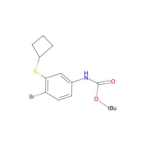 CC(C)(C)OC(=O)Nc1ccc(Br)c(SC2CCC2)c1